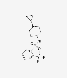 O=S(=O)(NC1CCN(C2CC2)CC1)c1ccccc1C(F)(F)F